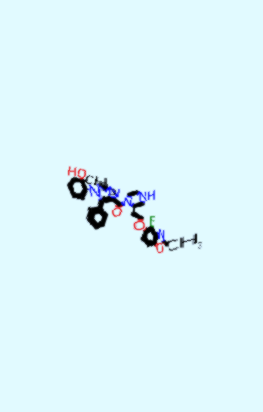 Cc1nc2c(F)c(OCC[C@@H]3CNCCN3C(=O)c3ncn([C@@H]4CCCC[C@]4(C)O)c3-c3ccccc3)ccc2o1